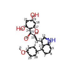 COc1ccc(-c2cccc3[nH]cc(C=C4Oc5cc(O)cc(O)c5C4=O)c23)cc1